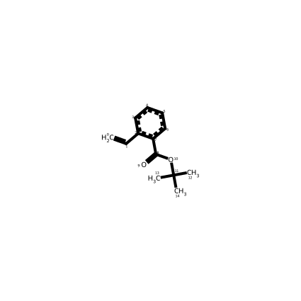 C=Cc1ccccc1C(=O)OC(C)(C)C